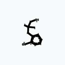 CC(C)(CO)Cc1ccccc1N=O